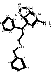 Nc1cc(C(CCOCc2ccccc2)c2ccccc2)c2nn[nH]c2n1